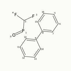 O=PC(F)F.c1ccc(-c2ccccc2)cc1